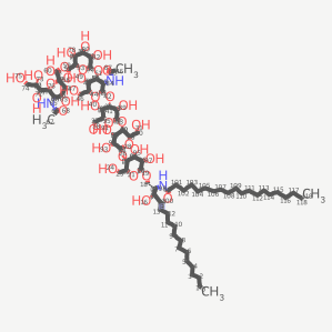 CCCCCCCCCCCCC/C=C/[C@@H](O)[C@H](CO[C@@H]1OC(CO)[C@@H](O[C@@H]2OC(CO)[C@H](O[C@@H]3OC(CO)[C@H](O)[C@H](O[C@@H]4OC(CO)[C@H](O)[C@H](O[C@@H]5OC(CO[C@]6(C(=O)O)CC(O)[C@@H](NC(C)=O)C([C@H](O)[C@H](O)CO)O6)[C@H](O)[C@H](O)C5O)C4NC(C)=O)C3O)[C@H](O)C2O)[C@H](O)C1O)NC(=O)CCCCCCCCCCCCCCCCCCC